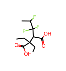 CCC(CC)(C(=O)O)C(C(=O)O)C(F)(F)C(C)F